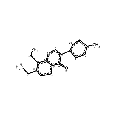 Cc1ccc(-c2coc3c(CP)c(CP)ccc3c2=O)cc1